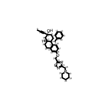 CC#C[C@@]1(O)CC[C@@]2(Cc3ccccc3)c3ccc(OCc4nc(CN5CCCCC5)no4)cc3CC[C@@H]2C1